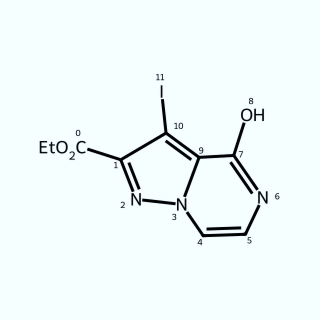 CCOC(=O)c1nn2ccnc(O)c2c1I